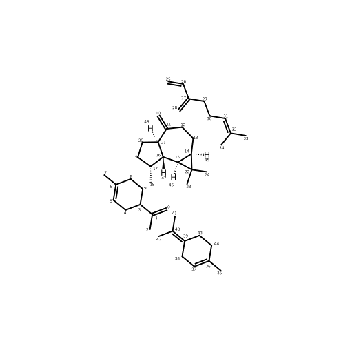 C=C(C)C1CC=C(C)CC1.C=C1CC[C@@H]2[C@H]([C@@H]3[C@H](C)CC[C@@H]13)C2(C)C.C=CC(=C)CCC=C(C)C.CC1=CCC(=C(C)C)CC1